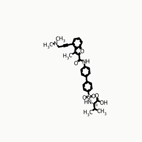 Cc1c(C(=O)Nc2ccc(-c3ccc(S(=O)(=O)N[C@H](C(=O)O)C(C)C)cc3)cc2)oc2cccc(C#CCN(C)C)c12